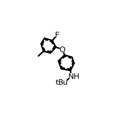 Cc1ccc(F)c(Oc2ccc(NC(C)(C)C)cc2)c1